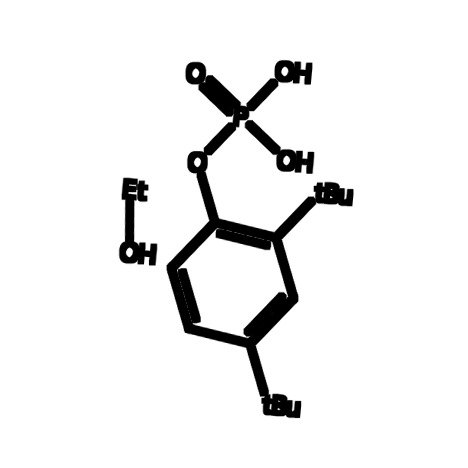 CC(C)(C)c1ccc(OP(=O)(O)O)c(C(C)(C)C)c1.CCO